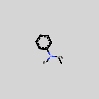 C[SiH2]N(c1ccccc1)C(C)C